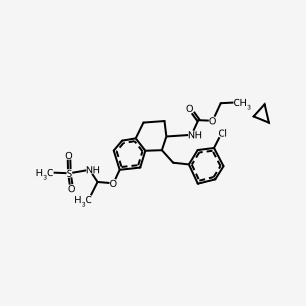 C1CC1.CCOC(=O)NC1CCc2ccc(OC(C)NS(C)(=O)=O)cc2C1Cc1cccc(Cl)c1